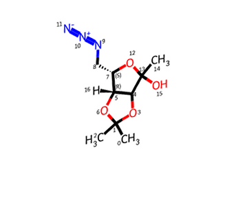 CC1(C)OC2[C@H](O1)[C@H](CN=[N+]=[N-])OC2(C)O